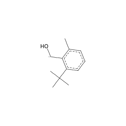 Cc1cccc(C(C)(C)C)c1[CH]O